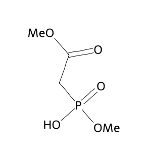 COC(=O)CP(=O)(O)OC